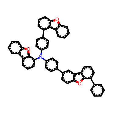 c1ccc(-c2cccc3c2oc2ccc(-c4ccc(N(c5ccc(-c6cccc7oc8ccccc8c67)cc5)c5cccc6c5oc5ccccc56)cc4)cc23)cc1